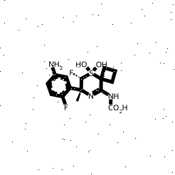 C[C@]1(c2cc(N)ccc2F)N=C(NC(=O)O)C2(CCC2)S(O)(O)[C@H]1F